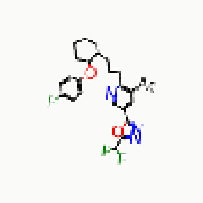 CC(=O)c1cc(-c2nnc(C(F)F)o2)cnc1CCCC1CCCCC1Oc1ccc(F)cc1